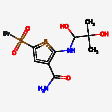 CC(C)S(=O)(=O)c1cc(C(N)=O)c(NC(O)C(C)(C)O)s1